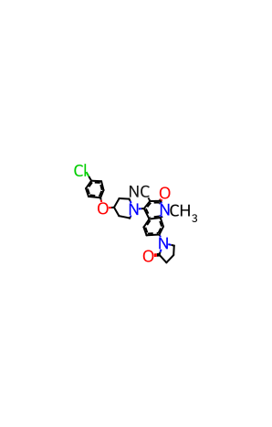 Cn1c(=O)c(C#N)c(N2CCC(Oc3ccc(Cl)cc3)CC2)c2ccc(N3CCCC3=O)cc21